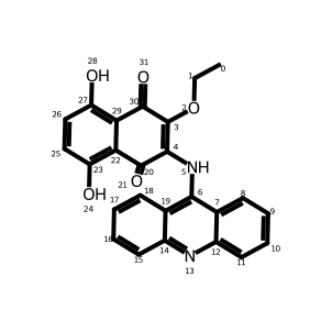 CCOC1=C(Nc2c3ccccc3nc3ccccc23)C(=O)c2c(O)ccc(O)c2C1=O